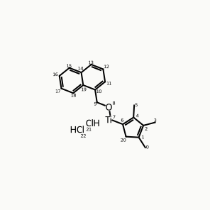 CC1=C(C)C(C)=[C]([Ti][O]Cc2cccc3ccccc23)C1.Cl.Cl